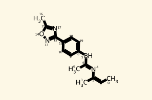 C/C=C(C)\N=C(/C)Bc1ccc(-c2noc(C)n2)cc1